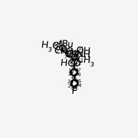 CC(C)(C)[Si](C)(C)OCc1cc([C@H](O)[C@](C)(OCc2ccc(-c3ccc(F)cc3)cc2)C(=O)NO)no1